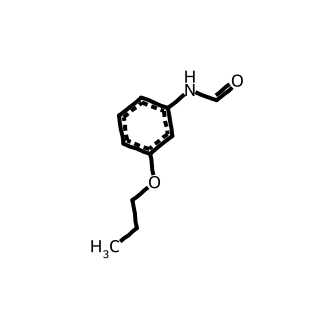 CCCOc1cccc(NC=O)c1